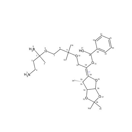 BC(C)(CCN)OCCC(C)(C)OC/C(OC(O)c1ccccc1)=C1/OC2OC(C)(C)OC2[C@@H]1C